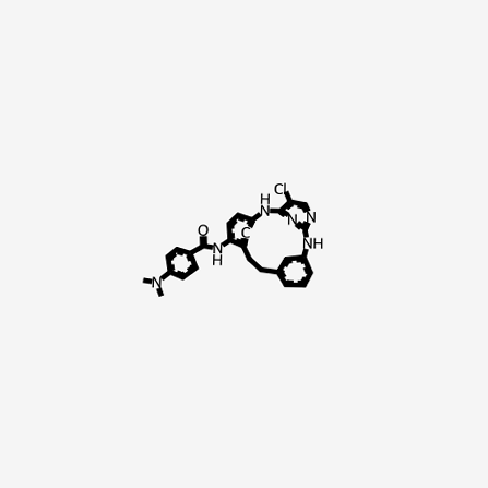 CN(C)c1ccc(C(=O)Nc2ccc3cc2CCc2cccc(c2)Nc2ncc(Cl)c(n2)N3)cc1